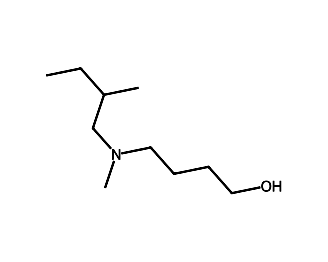 CCC(C)CN(C)CCCCO